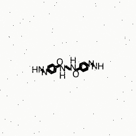 N=Nc1ccc(C(=O)NCCNC(=O)c2ccc(N=N)cc2)cc1